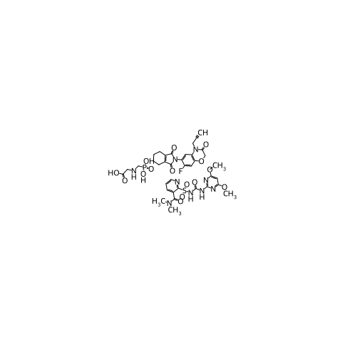 C#CCN1C(=O)COc2cc(F)c(N3C(=O)C4=C(CCCC4)C3=O)cc21.COc1cc(OC)nc(NC(=O)NS(=O)(=O)c2ncccc2C(=O)N(C)C)n1.O=C(O)CNCP(=O)(O)O